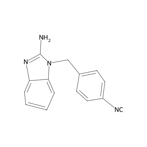 [C-]#[N+]c1ccc(Cn2c(N)nc3ccccc32)cc1